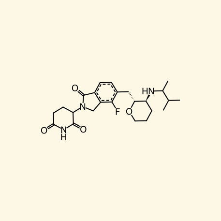 CC(C)C(C)N[C@H]1CCCO[C@@H]1Cc1ccc2c(c1F)CN(C1CCC(=O)NC1=O)C2=O